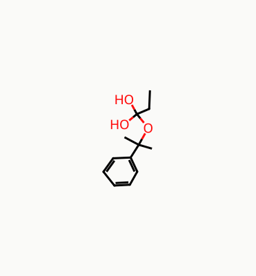 CCC(O)(O)OC(C)(C)c1ccccc1